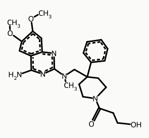 COc1cc2nc(N(C)CC3(c4ccccc4)CCN(C(=O)CCO)CC3)nc(N)c2cc1OC